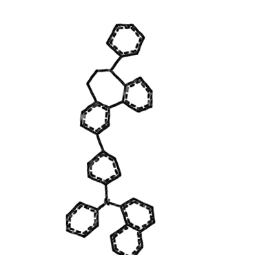 c1ccc(C2CCc3ccc(-c4ccc(N(c5ccccc5)c5cccc6ccccc56)cc4)cc3-c3ccccc32)cc1